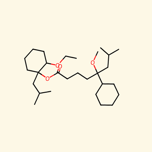 CCOC1CCCCC1(CC(C)C)OC(=O)CCCC(CC(C)C)(OC)C1CCCCC1